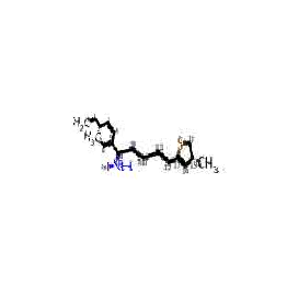 C=CC/C=C\C(=C/C)C(CCCCC1=C[C@@H](C)CS1)NI